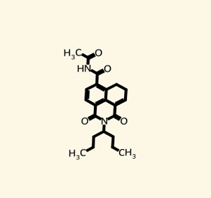 CCCC(CCC)N1C(=O)C2=CCCc3c(C(=O)NC(C)=O)ccc(c32)C1=O